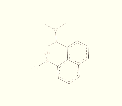 CC(c1cccc2cccc(B(O)O)c12)N(C)C